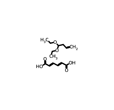 C=CCC(OCC)OCC.O=C(O)C=CC=CC(=O)O